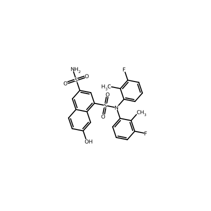 Cc1c(F)cccc1N(c1cccc(F)c1C)S(=O)(=O)c1cc(S(N)(=O)=O)cc2ccc(O)cc12